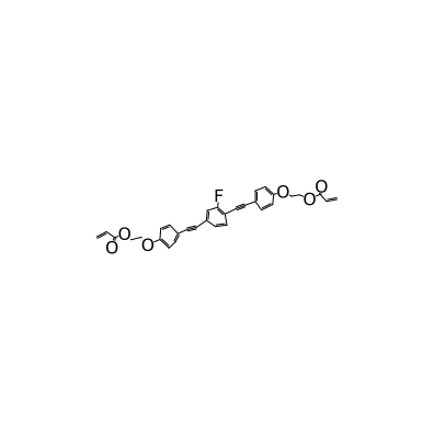 C=CC(=O)OCCOc1ccc(C#Cc2ccc(C#Cc3ccc(OCCOC(=O)C=C)cc3)c(F)c2)cc1